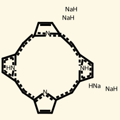 C1=Cc2cc3ccc(cc4nc(cc5ccc(cc1n2)[nH]5)C=C4)[nH]3.[NaH].[NaH].[NaH].[NaH]